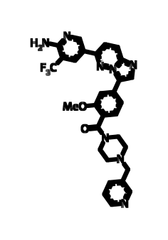 COc1cc(-c2cnc3ccc(-c4cnc(N)c(C(F)(F)F)c4)nn23)ccc1C(=O)N1CCN(Cc2cccnc2)CC1